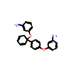 Nc1cccc(Oc2ccc(C3(Oc4cccc(N)c4)C=CC=CC3)cc2)c1